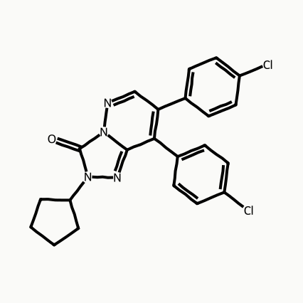 O=c1n(C2CCCC2)nc2c(-c3ccc(Cl)cc3)c(-c3ccc(Cl)cc3)cnn12